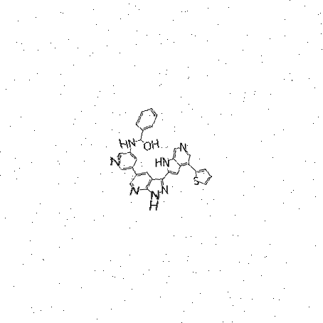 OC(Nc1cncc(-c2cnc3[nH]nc(-c4cc5c(-c6cccs6)cncc5[nH]4)c3c2)c1)c1ccccc1